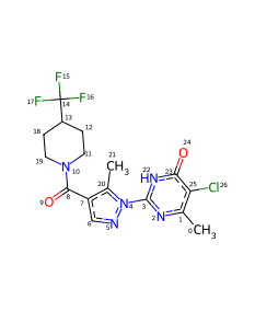 Cc1nc(-n2ncc(C(=O)N3CCC(C(F)(F)F)CC3)c2C)[nH]c(=O)c1Cl